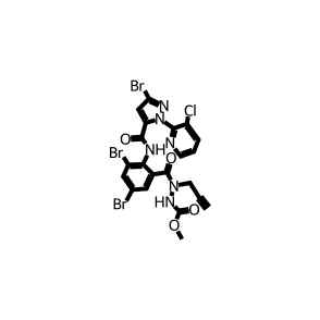 C#CCN(NC(=O)OC)C(=O)c1cc(Br)cc(Br)c1NC(=O)c1cc(Br)nn1-c1ncccc1Cl